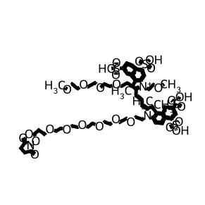 COCCOCCOCCOCCC1(C)C(/C=C/C=C2/N(CCOCCOCCOCCOCCOCCOCCC(=O)ON3C(=O)CCC3=O)c3ccc4c(S(=O)(=O)O)cc(S(=O)(=O)O)cc4c3C2(C)C)=[N+](CCOC)c2cc(S(=O)(=O)O)c3ccc(S(=O)(=O)O)cc3c21